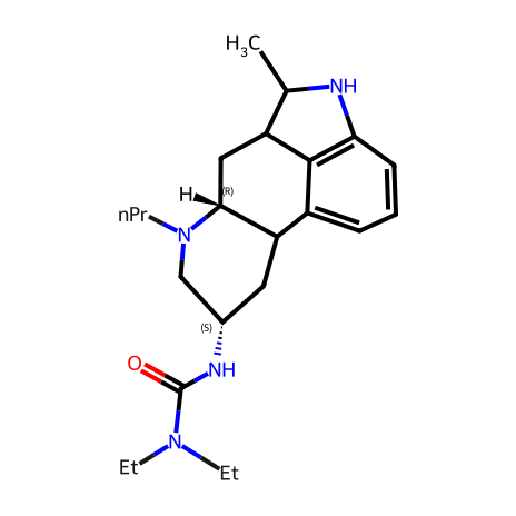 CCCN1C[C@@H](NC(=O)N(CC)CC)CC2c3cccc4c3C(C[C@H]21)C(C)N4